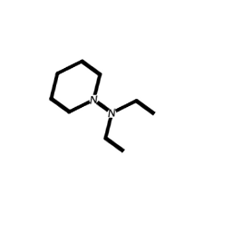 CCN(CC)N1CCCCC1